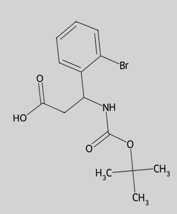 CC(C)(C)OC(=O)NC(CC(=O)O)c1ccccc1Br